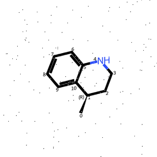 C[C@@H]1CCNc2ccccc21